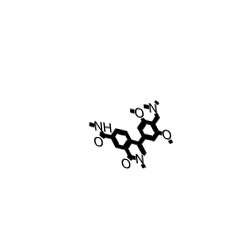 CNC(=O)c1ccc2c(-c3cc(OC)c(CN(C)C)c(OC)c3)cn(C)c(=O)c2c1